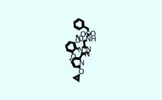 COc1cccc(OC)c1-n1c(C(=O)NS(=O)(=O)Cc2ccccc2)nnc1-c1cccc(OC2CC2)n1